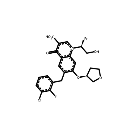 CC(C)[C@@H](CO)n1cc(C(=O)O)c(=O)c2cc(Cc3cccc(Cl)c3F)c(O[C@H]3CCOC3)cc21